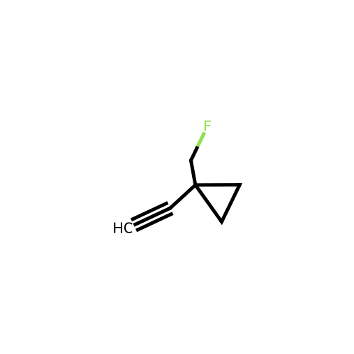 C#CC1(CF)CC1